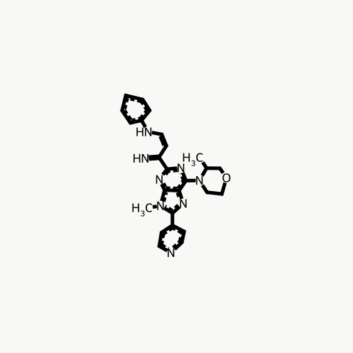 CC1COCCN1c1nc(C(=N)/C=C\Nc2ccccc2)nc2c1nc(-c1ccncc1)n2C